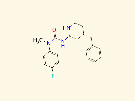 CN(C(=O)N[C@@H]1C[C@@H](Cc2ccccc2)CCN1)c1ccc(F)cc1